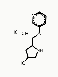 Cl.Cl.OC1CNC(COc2cccnc2)C1